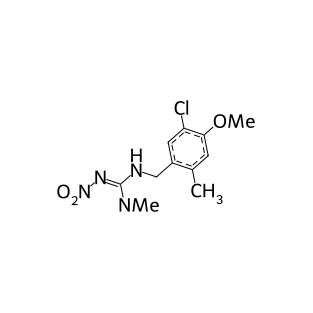 CN/C(=N\[N+](=O)[O-])NCc1cc(Cl)c(OC)cc1C